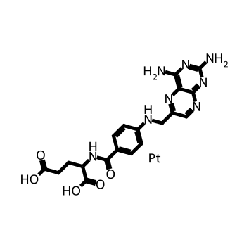 Nc1nc(N)c2nc(CNc3ccc(C(=O)NC(CCC(=O)O)C(=O)O)cc3)cnc2n1.[Pt]